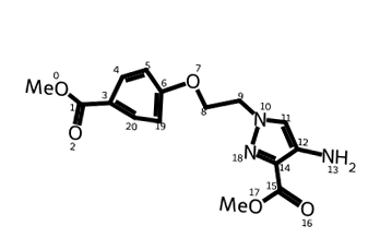 COC(=O)c1ccc(OCCn2cc(N)c(C(=O)OC)n2)cc1